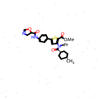 COC(=O)c1sc(-c2ccc(NC(=O)C3CN=CO3)cc2)cc1N(C(=O)[C@H]1CC[C@H](C)CC1)C(C)C